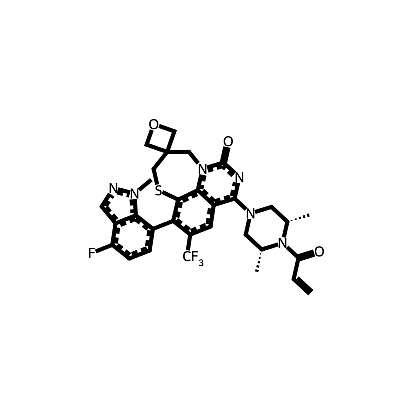 C=CC(=O)N1[C@H](C)CN(c2nc(=O)n3c4c(c(-c5ccc(F)c6cnn(C)c56)c(C(F)(F)F)cc24)SCC2(COC2)C3)C[C@@H]1C